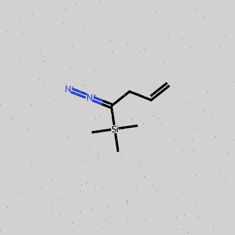 C=CCC(=[N+]=[N-])[Si](C)(C)C